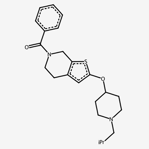 CC(C)CN1CCC(Oc2cc3c(s2)CN(C(=O)c2ccccc2)CC3)CC1